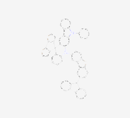 c1ccc(-n2c3ccccc3c3cc4c(cc32)N(c2ccc3sc5ccc(C6c7ccccc7-c7ccccc76)cc5c3c2)c2ccccc2C42c3ccsc3-c3sccc32)cc1